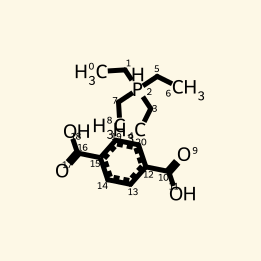 CC[PH](CC)(CC)CC.O=C(O)c1ccc(C(=O)O)cc1